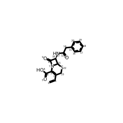 C=CC1=C(C(=O)O)N2C(=O)[C@@H](NC(=O)Cc3ccccc3)C2SC1